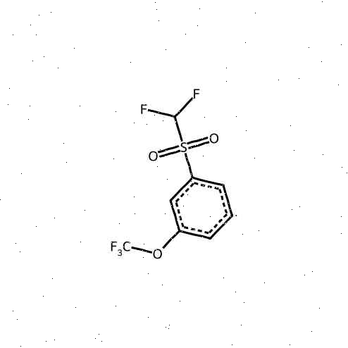 O=S(=O)(c1c[c]cc(OC(F)(F)F)c1)C(F)F